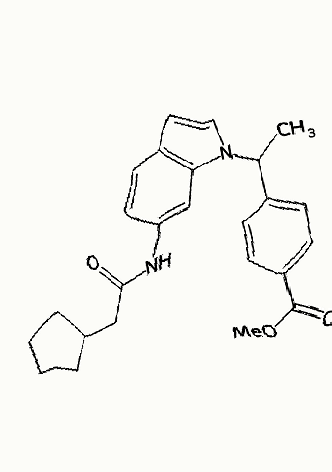 COC(=O)c1ccc(C(C)n2ccc3ccc(NC(=O)CC4CCCC4)cc32)cc1